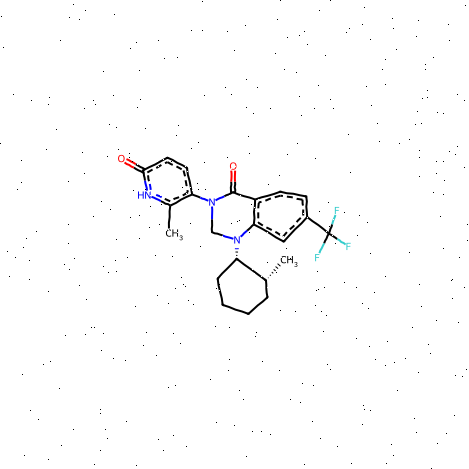 Cc1[nH]c(=O)ccc1N1CN([C@H]2CCCC[C@H]2C)c2cc(C(F)(F)F)ccc2C1=O